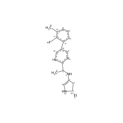 CC[C@H]1CC(NC(C)c2ncc(-c3cccc(C)c3F)cn2)=CN1